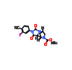 CCCCOC(=O)N1C[C@@H]2C[C@H]1[C@@H]1C(=O)N(c3ccc(C#N)c(I)c3)C(=O)N21